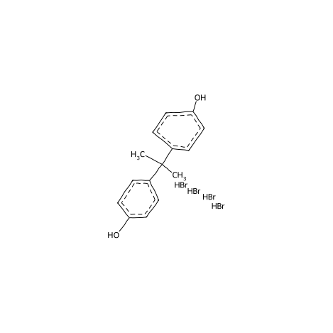 Br.Br.Br.Br.CC(C)(c1ccc(O)cc1)c1ccc(O)cc1